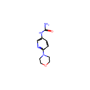 NC(=O)Nc1ccc(N2CCOCC2)nc1